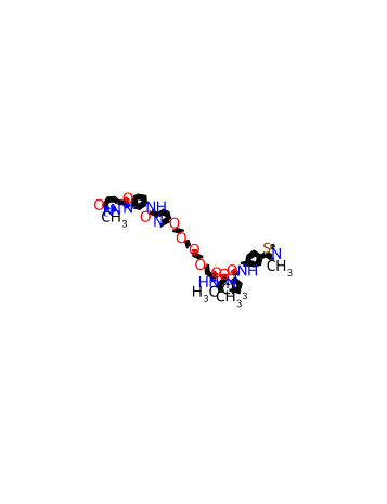 Cc1ncsc1-c1ccc(CNC(=O)[C@@H]2CCCN2C(=O)[C@@H](NC(=O)CCOCCOCCOCCOc2ccc(C(=O)Nc3ccc4oc(-c5ccc(=O)n(C)n5)nc4c3)nc2)C(C)(C)C)cc1